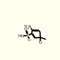 CC1(Cl)C=C(S(=O)(=O)O)C(N)=CC1